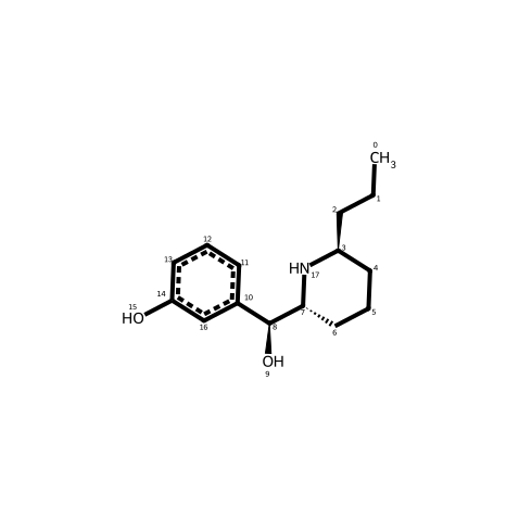 CCC[C@H]1CCC[C@H]([C@@H](O)c2cccc(O)c2)N1